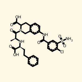 C[C@H](N[C@@H](CCc1ccccc1)C(=O)O)C(=O)N1Cc2cc(NC(=O)c3ccc(Cl)c(S(N)(=O)=O)c3)ccc2CC1C(=O)O